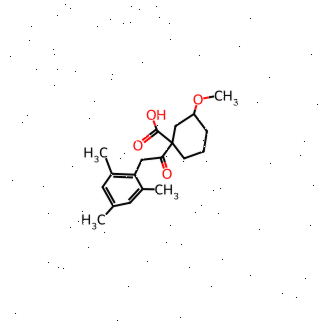 COC1CCCC(C(=O)O)(C(=O)Cc2c(C)cc(C)cc2C)C1